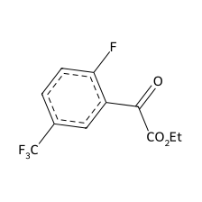 CCOC(=O)C(=O)c1cc(C(F)(F)F)ccc1F